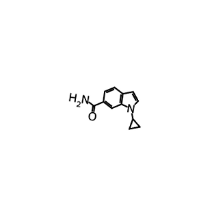 NC(=O)c1ccc2ccn(C3CC3)c2c1